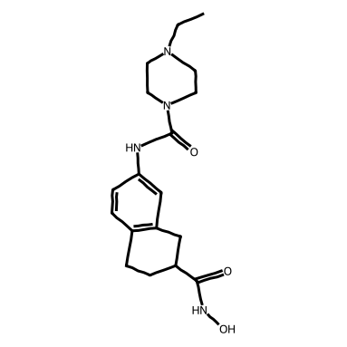 CCN1CCN(C(=O)Nc2ccc3c(c2)CC(C(=O)NO)CC3)CC1